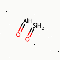 O=[SiH2].[O]=[AlH]